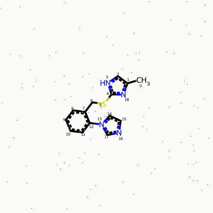 Cc1c[nH]c(SCc2ccccc2-n2ccnc2)n1